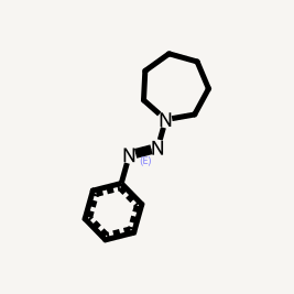 c1ccc(/N=N/N2CCCCCC2)cc1